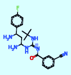 CC(C)(C)N/C(=N/C(=O)c1cccc(C#N)c1)NC(N)CC(N)c1ccc(F)cc1